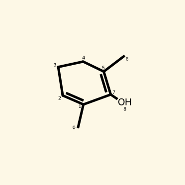 CC1=CCCC(C)=C1O